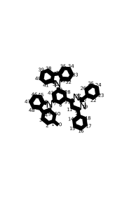 CC1C=Cc2c(n(-c3cc(-c4cc(-c5ccccc5)nc(-c5ccccc5)n4)cc(-n4c5ccccc5c5ccccc54)c3)c3ccccc23)C1